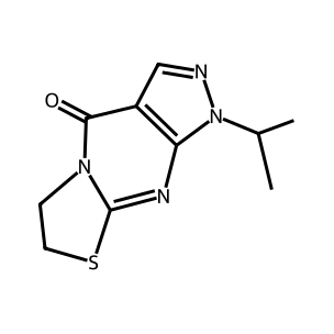 CC(C)n1ncc2c(=O)n3c(nc21)SCC3